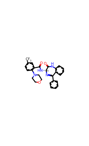 O=C(N[C@H]1N=C(c2ccccc2)c2ccccc2NC1=O)c1cc(C(F)(F)F)ccc1N1CCOCC1